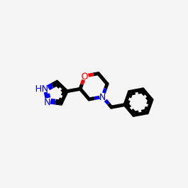 c1ccc(CN2CCOC(c3cn[nH]c3)C2)cc1